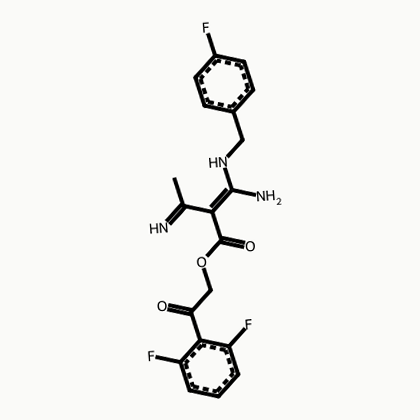 CC(=N)/C(C(=O)OCC(=O)c1c(F)cccc1F)=C(/N)NCc1ccc(F)cc1